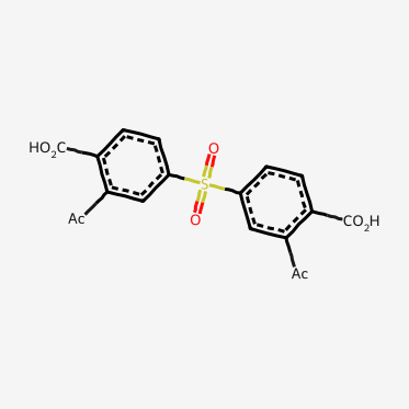 CC(=O)c1cc(S(=O)(=O)c2ccc(C(=O)O)c(C(C)=O)c2)ccc1C(=O)O